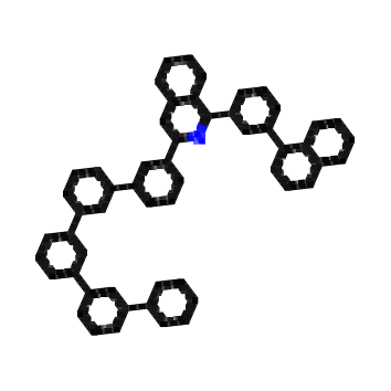 c1ccc(-c2cccc(-c3cccc(-c4cccc(-c5cccc(-c6cc7ccccc7c(-c7cccc(-c8cccc9ccccc89)c7)n6)c5)c4)c3)c2)cc1